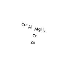 [Al].[Cr].[Cu].[MgH2].[Zn]